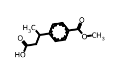 COC(=O)c1ccc(C(C)CC(=O)O)cc1